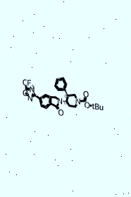 CC(C)(C)OC(=O)N1CC[C@H](N2Cc3cc(-c4noc(C(F)(F)F)n4)ccc3C2=O)[C@@H](c2ccccc2)C1